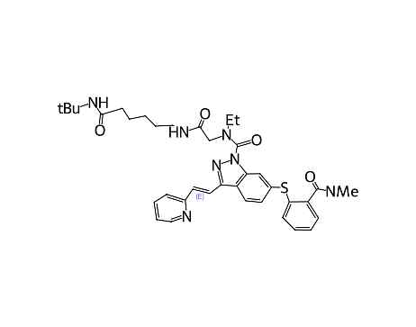 CCN(CC(=O)NCCCCCC(=O)NC(C)(C)C)C(=O)n1nc(/C=C/c2ccccn2)c2ccc(Sc3ccccc3C(=O)NC)cc21